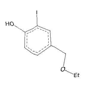 CCOCc1ccc(O)c(I)c1